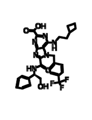 O=C(O)c1nc(NCCC2CCC2)c2c(n1)nc(C(=O)N[C@@H](CO)c1ccccc1)n2Cc1ccc(C(F)(F)F)cc1